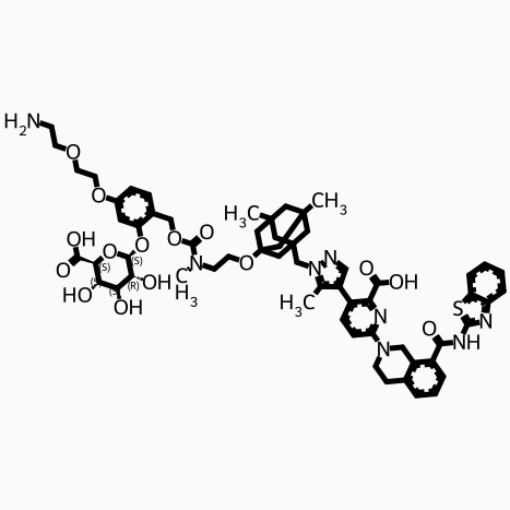 Cc1c(-c2ccc(N3CCc4cccc(C(=O)Nc5nc6ccccc6s5)c4C3)nc2C(=O)O)cnn1CC12CC3(C)CC(C)(C1)CC(OCCN(C)C(=O)OCc1ccc(OCCOCCN)cc1O[C@@H]1O[C@H](C(=O)O)[C@@H](O)[C@H](O)[C@H]1O)(C3)C2